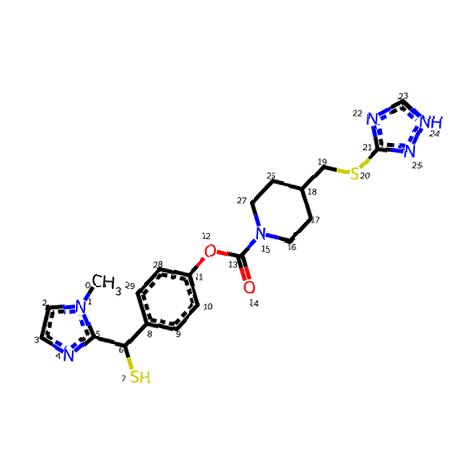 Cn1ccnc1C(S)c1ccc(OC(=O)N2CCC(CSc3nc[nH]n3)CC2)cc1